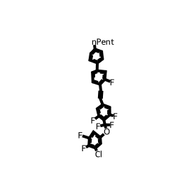 CCCCCc1ccc(-c2ccc(C#Cc3cc(F)c(C(F)(F)Oc4cc(F)c(F)c(Cl)c4)c(F)c3)c(F)c2)cc1